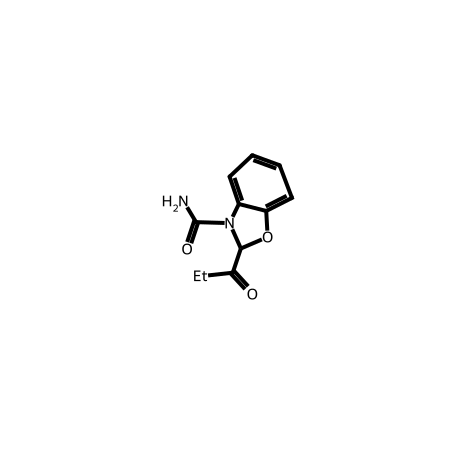 CCC(=O)C1Oc2ccccc2N1C(N)=O